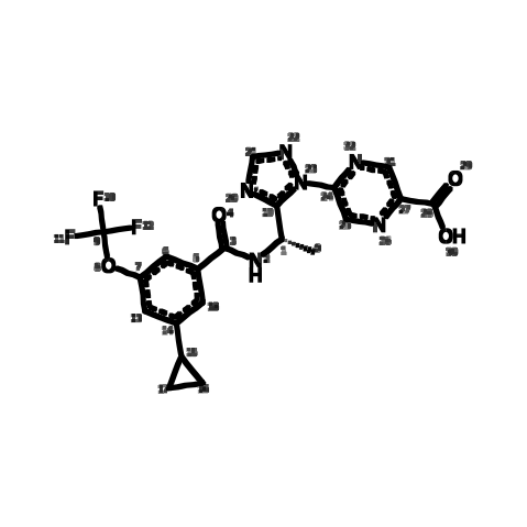 C[C@H](NC(=O)c1cc(OC(F)(F)F)cc(C2CC2)c1)c1ncnn1-c1cnc(C(=O)O)cn1